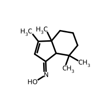 CC1=CC(=NO)C2C(C)(C)CCCC12C